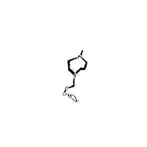 CN1CCN(CO[C]=O)CC1